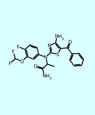 CC(C(N)=O)N(c1ccc(F)c(OC(F)F)c1)c1nc(N)c(C(=O)c2ccccc2)s1